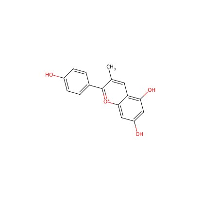 Cc1cc2c(O)cc(O)cc2[o+]c1-c1ccc(O)cc1